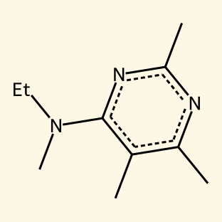 CCN(C)c1nc(C)nc(C)c1C